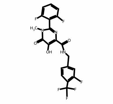 Cn1c(-c2c(F)cccc2F)nc(C(=O)NCc2ccc(C(F)(F)F)c(F)c2)c(O)c1=O